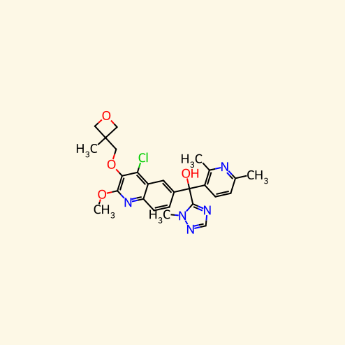 COc1nc2ccc(C(O)(c3ccc(C)nc3C)c3ncnn3C)cc2c(Cl)c1OCC1(C)COC1